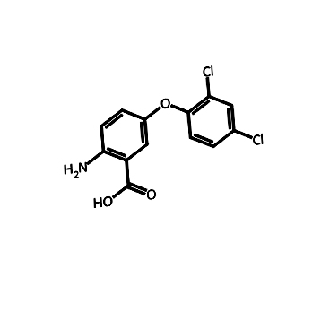 Nc1ccc(Oc2ccc(Cl)cc2Cl)cc1C(=O)O